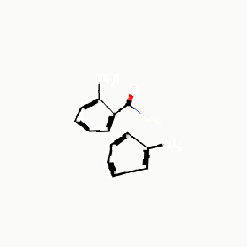 Cc1ccccc1.NC(=O)c1ccccc1C(=O)O